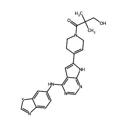 CC(C)(CO)C(=O)N1CC=C(c2cc3c(Nc4ccc5ncsc5c4)ncnc3[nH]2)CC1